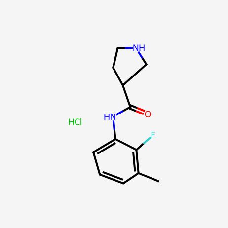 Cc1cccc(NC(=O)C2CCNC2)c1F.Cl